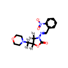 [2H]C([2H])(N1CCOCC1)C1([2H])OC(=O)N(/N=C/c2ccccc2[N+](=O)[O-])C1([2H])[2H]